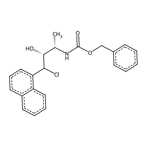 C[C@H](NC(=O)OCc1ccccc1)[C@@H](O)C(Cl)c1cccc2ccccc12